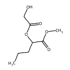 CCCC(OC(=O)CO)C(=O)OC